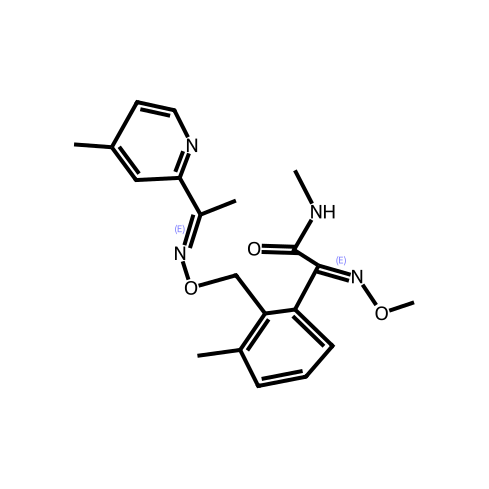 CNC(=O)/C(=N/OC)c1cccc(C)c1CO/N=C(\C)c1cc(C)ccn1